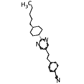 CCCCC[C@H]1CC[C@H](c2ncc(CCc3ccc(C#N)cc3)cn2)CC1